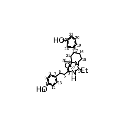 CCC(NC(=O)CCc1ccc(O)cc1)N1CC[C@@H](c2cccc(O)c2)CC1(C)C